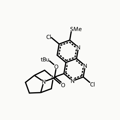 CSc1nc2nc(Cl)nc(N3CC4CCC(C3)N4C(=O)OC(C)(C)C)c2cc1Cl